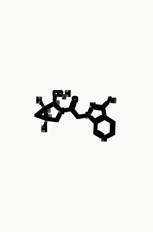 CC(=O)c1nn(CC(=O)N2C[C@H]3C[C@H]3[C@H]2C(=O)O)c2cnccc12